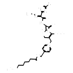 CCCCCCCCCCCCCCCC(=O)OCc1cc[n+](CC2=C(C(=O)[O-])N3C(=O)C(NC(=O)C(=NOCC)c4nsc(N)n4)[C@@H]3SC2)cc1